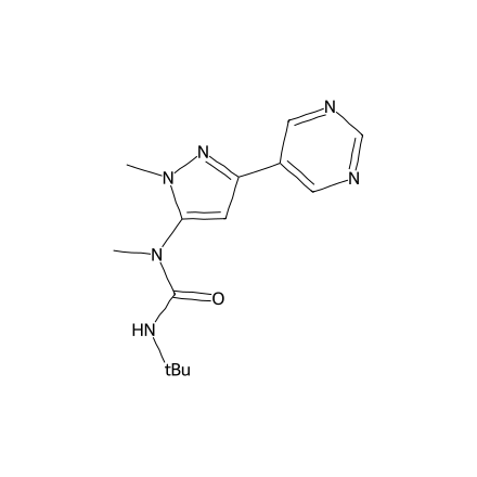 CN(C(=O)NC(C)(C)C)c1cc(-c2cncnc2)nn1C